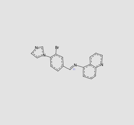 Brc1cc(/C=N/c2cccc3ncccc23)ccc1-n1ccnc1